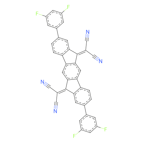 N#CC(C#N)=C1c2cc(-c3cc(F)cc(F)c3)ccc2-c2cc3c(cc21)-c1ccc(-c2cc(F)cc(F)c2)cc1C3=C(C#N)C#N